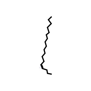 CCC/[C]=C\CCCCCCCCCCCCC